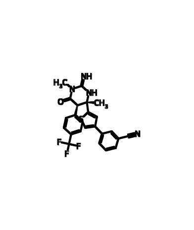 CN1C(=N)N[C@](C)(c2cc(-c3cccc(C#N)c3)cs2)[C@@H](c2ccc(C(F)(F)F)cc2)C1=O